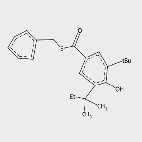 CCC(C)(C)c1cc(C(=O)SCc2ccccc2)cc(C(C)(C)C)c1O